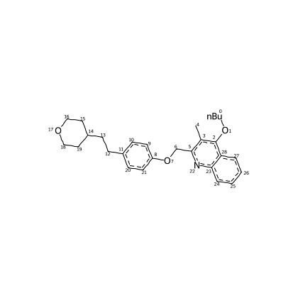 CCCCOc1c(C)c(COc2ccc(CCC3CCOCC3)cc2)nc2ccccc12